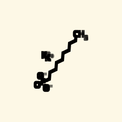 CCCCCCCCCCP(=O)([O-])[O-].[K+].[K+]